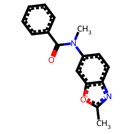 Cc1nc2ccc(N(C)C(=O)c3ccccc3)cc2o1